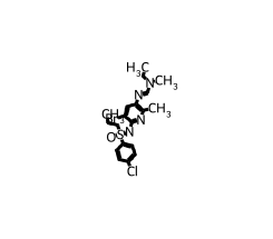 CCCS(=O)(=Nc1nc(C)c(N=CN(C)CC)cc1Br)c1ccc(Cl)cc1